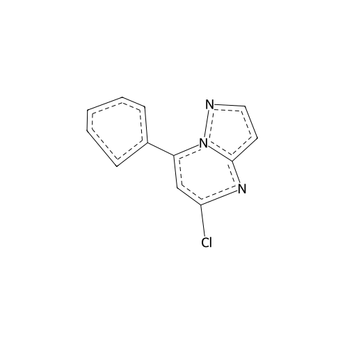 Clc1cc(-c2ccccc2)n2nccc2n1